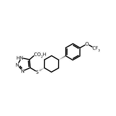 O=C(O)c1[nH]nnc1S[C@H]1CC[C@@H](c2ccc(OC(F)(F)F)cc2)CC1